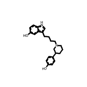 Oc1ccc(C2CCCN(CCCCc3c[nH]c4ccc(O)cc34)C2)cc1